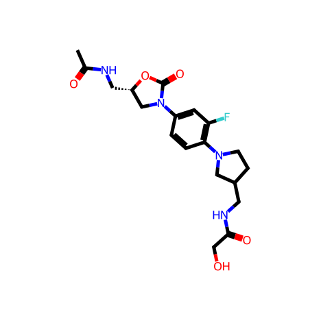 CC(=O)NC[C@H]1CN(c2ccc(N3CCC(CNC(=O)CO)C3)c(F)c2)C(=O)O1